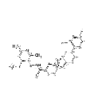 CCc1cc(N)nc(C)c1CNC(=O)c1ccc2c(c1)c1oc2c2ccc(-c3ccc(F)cc3F)cc21